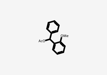 COc1ccccc1[C](OC(C)=O)c1ccccc1